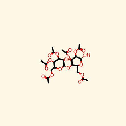 CC(=O)OCC1O[C@@H](O[C@@H]2C(COC(C)=O)O[C@@H](O)C(OC(C)=O)C2OC(C)=O)C(O)C(OC(C)=O)[C@@H]1OC(C)=O